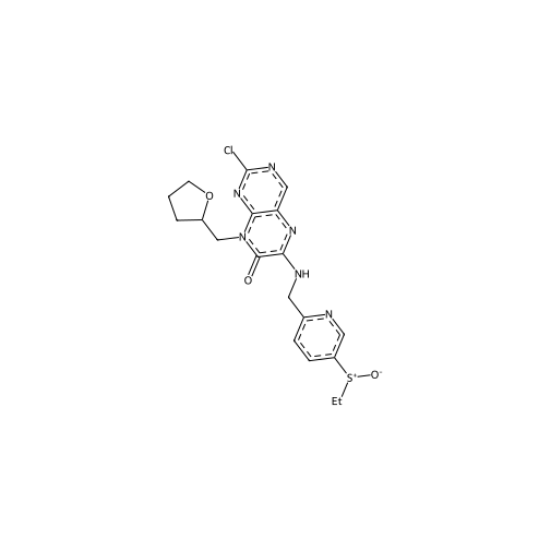 CC[S+]([O-])c1ccc(CNc2nc3cnc(Cl)nc3n(CC3CCCO3)c2=O)nc1